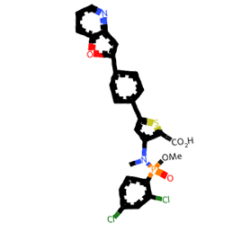 COP(=O)(c1ccc(Cl)cc1Cl)N(C)c1cc(-c2ccc(-c3cc4ncccc4o3)cc2)sc1C(=O)O